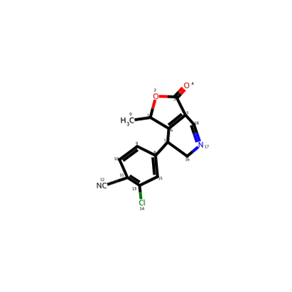 CC1OC(=O)C2=C1C(c1ccc(C#N)c(Cl)c1)CN=C2